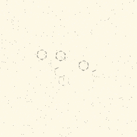 COC(=O)c1ccc(COc2cccc([C@@H](NC(=O)OC3CN4CCC3CC4)c3ccccc3)c2)cc1